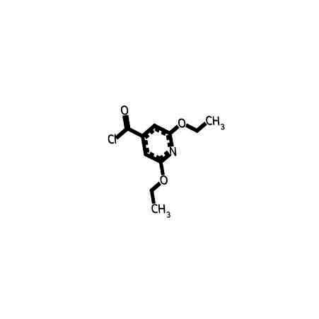 CCOc1cc(C(=O)Cl)cc(OCC)n1